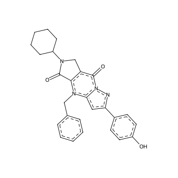 O=C1c2c(c(=O)n3nc(-c4ccc(O)cc4)cc3n2Cc2ccccc2)CN1C1CCCCC1